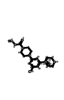 CC(C)(C)OC(=O)N1CCN(c2nc(Cl)nc(N3CC4CCCC3CO4)n2)CC1